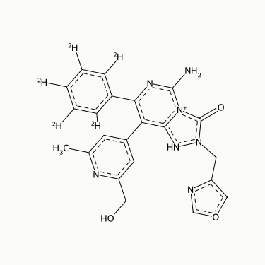 [2H]c1c([2H])c([2H])c(-c2nc(N)[n+]3c(=O)n(Cc4cocn4)[nH]c3c2-c2cc(C)nc(CO)c2)c([2H])c1[2H]